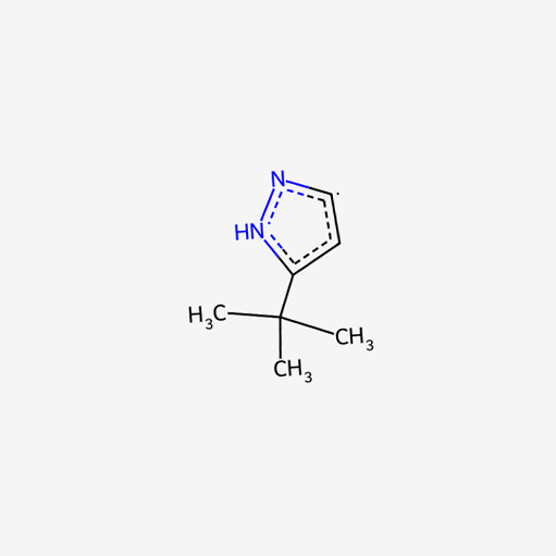 CC(C)(C)c1c[c]n[nH]1